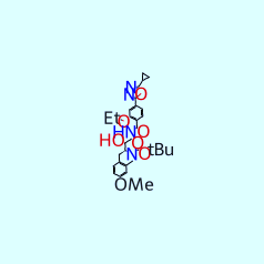 CCOc1cc(-c2nnc(C3CC3)o2)ccc1C(=O)NC[C@@H](O)[C@@H]1Cc2ccc(OC)cc2CN1C(=O)OC(C)(C)C